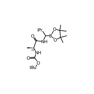 CC(C)C(NC(=O)[C@H](C)NC(=O)OC(C)(C)C)B1OC(C)(C)C(C)(C)O1